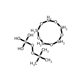 C[Si](C)(C)OO[Si](O)(O)O.O1[SiH2]O[SiH2]O[SiH2]O[SiH2]O[SiH2]1